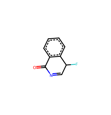 O=C1N=CC(F)c2ccccc21